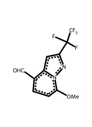 COc1ccc(C=O)c2cc(C(F)(F)C(F)(F)F)nn12